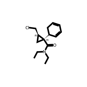 CCN(CC)C(=O)[C@@]1(C2C=CC=CC2)C[C@H]1CCl